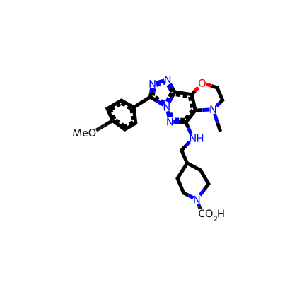 COc1ccc(-c2nnc3c4c(c(NCC5CCN(C(=O)O)CC5)nn23)N(C)CCO4)cc1